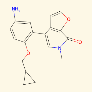 Cn1cc(-c2cc(N)ccc2OCC2CC2)c2ccoc2c1=O